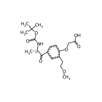 COCCc1cc(C(=O)[C@H](C)NC(=O)OC(C)(C)C)ccc1OCC(=O)O